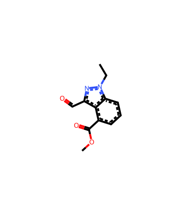 CCn1nc(C=O)c2c(C(=O)OC)cccc21